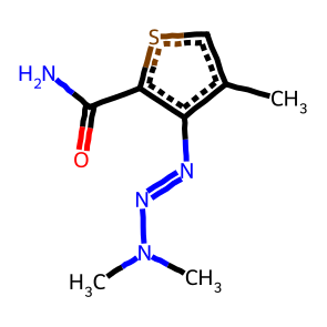 Cc1csc(C(N)=O)c1N=NN(C)C